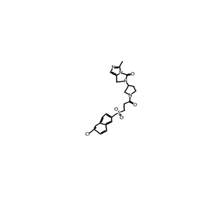 Cc1ncc2n1C(=O)N(C1CCN(C(=O)CCS(=O)(=O)c3ccc4cc(Cl)ccc4c3)C1)C2